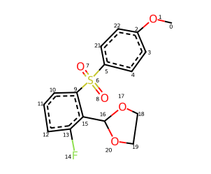 COc1ccc(S(=O)(=O)c2cccc(F)c2C2OCCO2)cc1